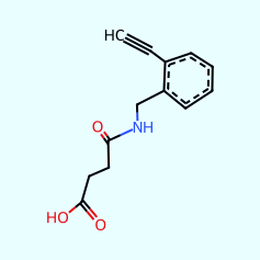 C#Cc1ccccc1CNC(=O)CCC(=O)O